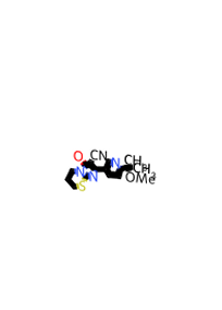 COC(C)(C)c1ccc(-c2nc3n(c(=O)c2C#N)CCCS3)cn1